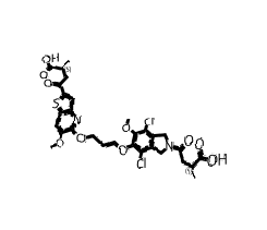 COc1cc2sc(C(=O)C[C@H](C)C(=O)O)cc2nc1OCCCOc1c(Cl)c2c(c(Cl)c1OC)CN(C(=O)C[C@H](C)C(=O)O)C2